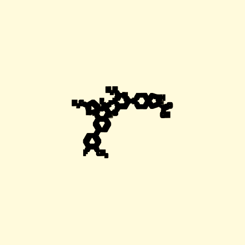 Cc1ccn(-c2cc(-c3ccc(F)c(C)c3)ccc2[C@@H](Oc2cc(N3CCC4(CC3)CN[C@H](C(=O)O)C4)nc(N)n2)C(F)(F)F)n1